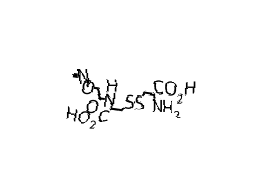 C=NOCC(=O)N[C@H](CSSC[C@@H](N)C(=O)O)C(=O)O